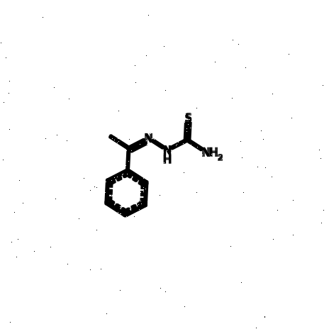 C/C(=N/NC(N)=S)c1ccccc1